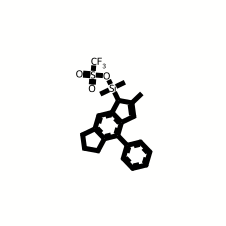 CC1=Cc2c(cc3c(c2-c2ccccc2)CCC3)C1[Si](C)(C)OS(=O)(=O)C(F)(F)F